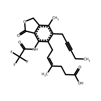 CCC#CCc1c(C)c2c(c(NC(=O)C(F)(F)F)c1CC=C(C)CCC(=O)O)C(=O)OC2